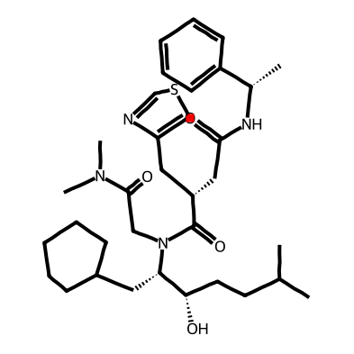 CC(C)CC[C@H](O)[C@H](CC1CCCCC1)N(CC(=O)N(C)C)C(=O)[C@@H](CC(=O)N[C@@H](C)c1ccccc1)Cc1cscn1